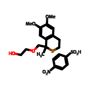 COc1cc2c(cc1OC)C(C)(COCCO)SCC2.O=[N+]([O-])c1ccc(S(=O)(=O)O)cc1